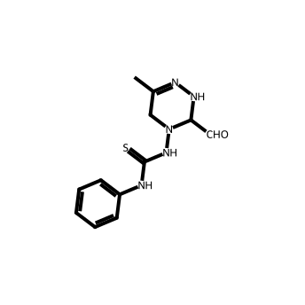 CC1=NNC(C=O)N(NC(=S)Nc2ccccc2)C1